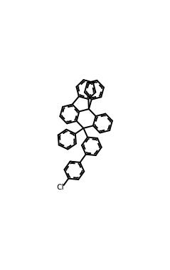 Clc1ccc(-c2cccc(C3(c4ccccc4)c4ccccc4C4(c5ccccc5)c5ccccc5-c5cccc3c54)c2)cc1